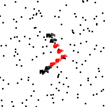 [Al+3].[Al+3].[O-2].[O-2].[O-2].[O-2].[O-2].[Pb+2].[Pb+2]